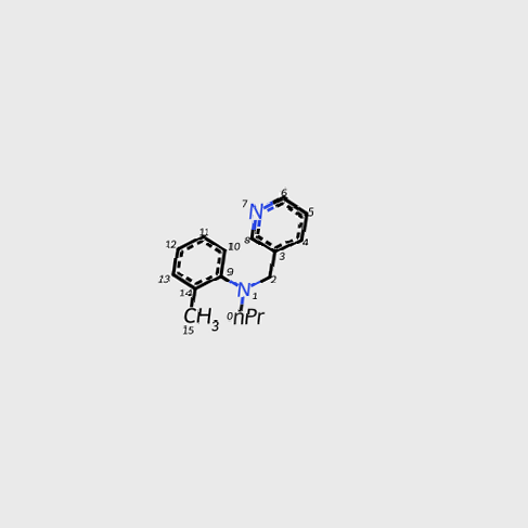 CCCN(Cc1cccnc1)c1ccccc1C